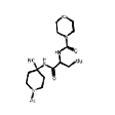 CC(=O)N1CCC(C#N)(NC(=O)C(CC(C)(C)C)NC(=O)N2CCOCC2)CC1